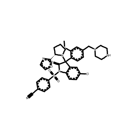 COc1cc(CN2CCNCC2)ccc1C1(N2CCC[C@H]2c2ncco2)C(=O)N(S(=O)(=O)c2ccc(C#N)cc2)c2ccc(Cl)cc21